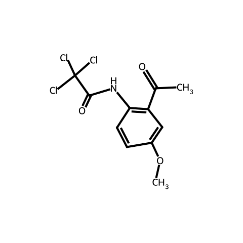 COc1ccc(NC(=O)C(Cl)(Cl)Cl)c(C(C)=O)c1